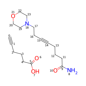 C#CCCCC(=O)O.NC(=O)CCCC#CCCN1CCOCC1